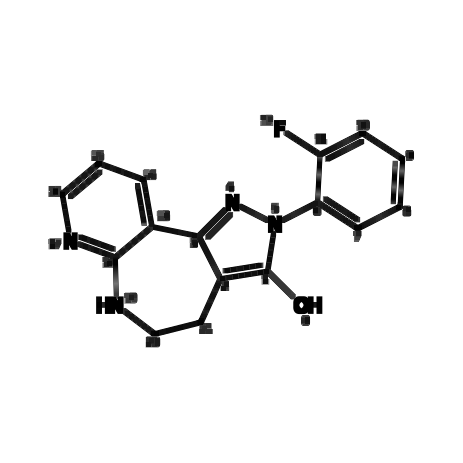 Oc1c2c(nn1-c1ccccc1F)-c1cccnc1NCC2